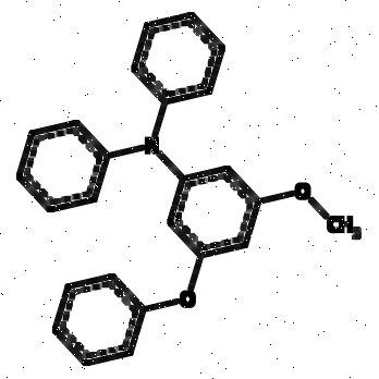 COc1cc(Oc2ccccc2)cc(N(c2ccccc2)c2ccccc2)c1